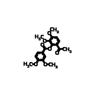 COc1ccc(C(=O)Oc2c(C(C)=O)ccc(OC)c2OC)cc1OC